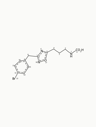 O=C(O)NCCCc1nc(Cc2ccc(Br)cc2)no1